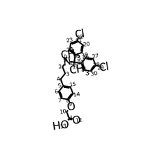 CN(CCCc1ccc(OCC(=O)O)cc1)C(C)(c1ccc(Cl)cc1)c1ccc(Cl)cc1